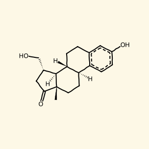 C[C@]12CC[C@@H]3c4ccc(O)cc4CC[C@H]3[C@@H]1[C@@H](CO)CC2=O